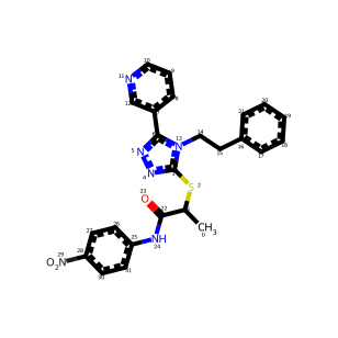 CC(Sc1nnc(-c2cccnc2)n1CCc1ccccc1)C(=O)Nc1ccc([N+](=O)[O-])cc1